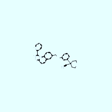 N#CC1(c2cccc(OCc3ccc4c(ccc5nnc(-c6ccccn6)n54)c3)c2)CCOCC1